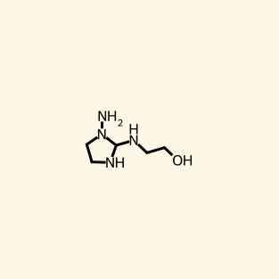 NN1CCNC1NCCO